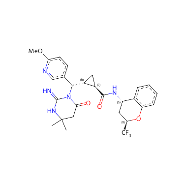 COc1ccc(C([C@@H]2C[C@H]2C(=O)N[C@H]2C[C@H](C(F)(F)F)Oc3ccccc32)N2C(=N)NC(C)(C)CC2=O)cn1